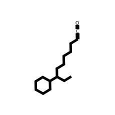 CCC(CCCCCC=C=O)C1CCCCC1